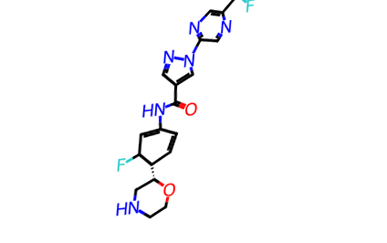 O=C(NC1=CC(F)C([C@H]2CNCCO2)C=C1)c1cnn(-c2cnc(C(F)(F)F)cn2)c1